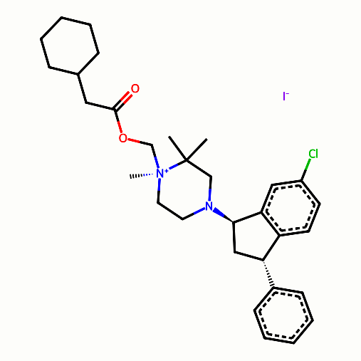 CC1(C)CN([C@@H]2C[C@@H](c3ccccc3)c3ccc(Cl)cc32)CC[N@@+]1(C)COC(=O)CC1CCCCC1.[I-]